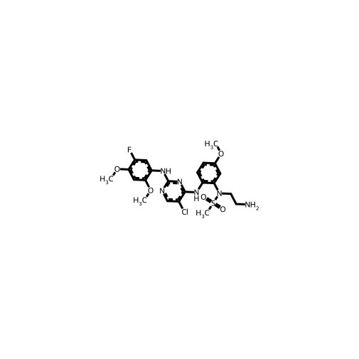 COc1ccc(Nc2nc(Nc3cc(F)c(OC)cc3OC)ncc2Cl)c(N(CCN)S(C)(=O)=O)c1